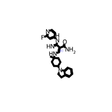 CC1(N/C=C(\C(=N)Nc2ccnc(F)c2)C(N)=O)CCC(N2CCc3ccccc32)CC1